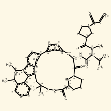 C=CC(=O)N1CC[C@H](C(=O)N(C)[C@H](C(=O)N[C@H]2Cc3nc(ns3)-c3ccc4c(c3)c(c(-c3cccnc3C(C)C)n4CC)CC(C)(C)COC(=O)[C@@H]3CCCN(N3)C2=O)C(C)C)C1